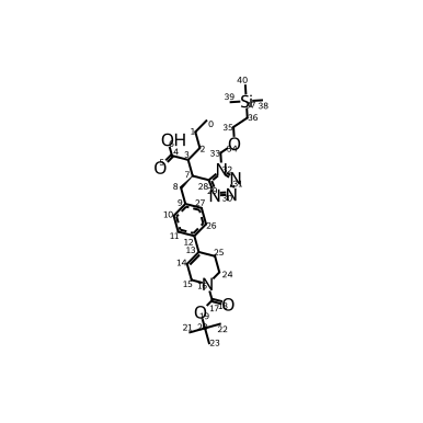 CCCC(C(=O)O)[C@H](Cc1ccc(C2=CCN(C(=O)OC(C)(C)C)CC2)cc1)c1nnnn1COCC[Si](C)(C)C